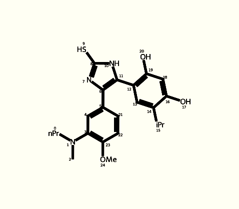 CCCN(C)c1cc(-c2nc(S)[nH]c2-c2cc(C(C)C)c(O)cc2O)ccc1OC